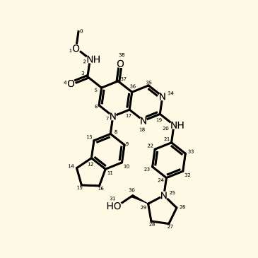 CONC(=O)c1cn(-c2ccc3c(c2)CCC3)c2nc(Nc3ccc(N4CCC[C@H]4CO)cc3)ncc2c1=O